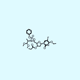 CCOc1nc(=O)n(C2CC(OC(=O)CC)C(COP(=O)(NC(C)C(OC)OC)Oc3ccccc3)O2)cc1F